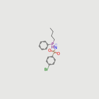 CCCC/[PH](=N/S(=O)(=O)c1ccc(Br)cc1)c1ccccc1